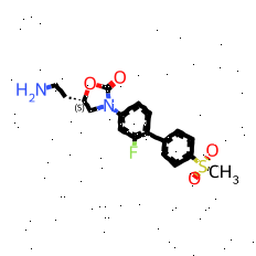 CS(=O)(=O)c1ccc(-c2ccc(N3C[C@H](CCN)OC3=O)cc2F)cc1